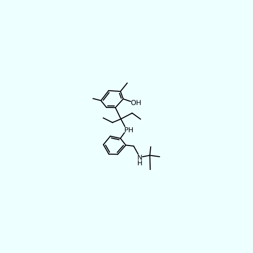 CCC(CC)(Pc1ccccc1CNC(C)(C)C)c1cc(C)cc(C)c1O